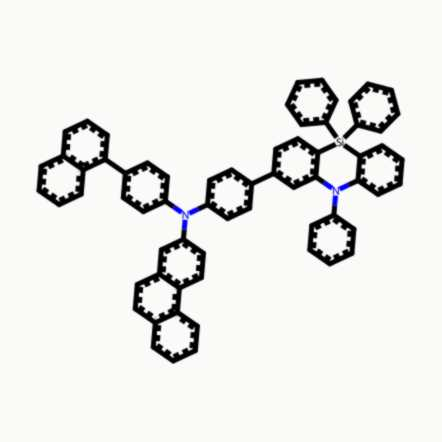 c1ccc(N2c3ccccc3[Si](c3ccccc3)(c3ccccc3)c3ccc(-c4ccc(N(c5ccc(-c6cccc7ccccc67)cc5)c5ccc6c(ccc7ccccc76)c5)cc4)cc32)cc1